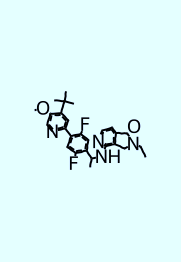 CCN1Cc2c(ccnc2NC(C)c2cc(F)c(-c3cc(C(C)(C)C)c(OC)cn3)cc2F)C1=O